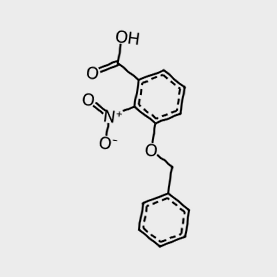 O=C(O)c1cccc(OCc2ccccc2)c1[N+](=O)[O-]